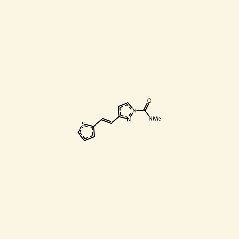 CNC(=O)n1ccc(C=Cc2cccs2)n1